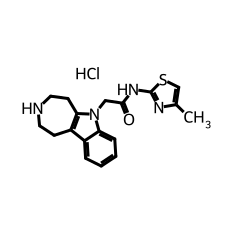 Cc1csc(NC(=O)Cn2c3c(c4ccccc42)CCNCC3)n1.Cl